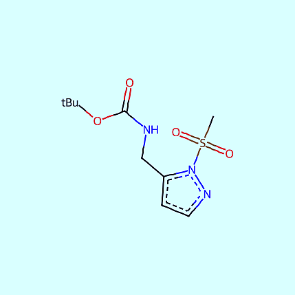 CC(C)(C)OC(=O)NCc1ccnn1S(C)(=O)=O